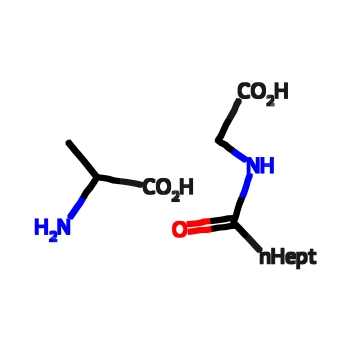 CC(N)C(=O)O.CCCCCCCC(=O)NCC(=O)O